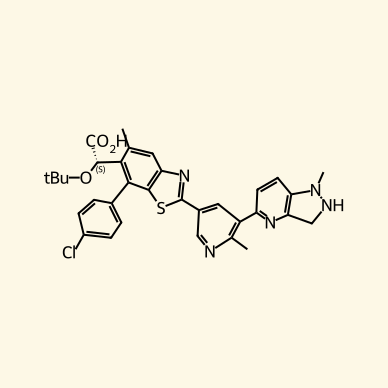 Cc1cc2nc(-c3cnc(C)c(-c4ccc5c(n4)CNN5C)c3)sc2c(-c2ccc(Cl)cc2)c1[C@H](OC(C)(C)C)C(=O)O